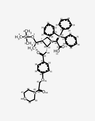 C[C@@H](O[Si](C)(C)C)[C@H]1CN(C(C(=O)O)=P(c2ccccc2)(c2ccccc2)c2ccccc2)[C@@H]1CC(=O)c1ccc(OCC(=O)N2CCOCC2)cc1